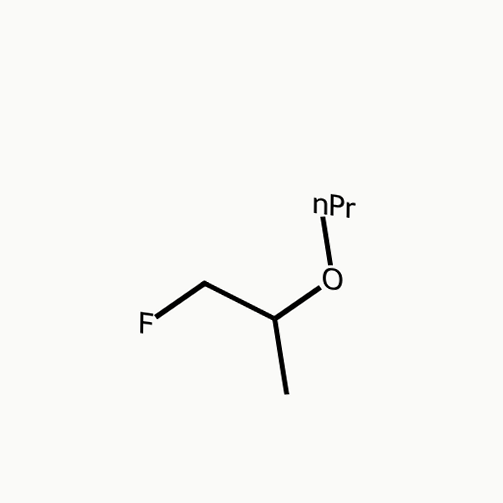 CCCOC(C)CF